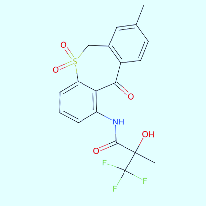 Cc1ccc2c(c1)CS(=O)(=O)c1cccc(NC(=O)C(C)(O)C(F)(F)F)c1C2=O